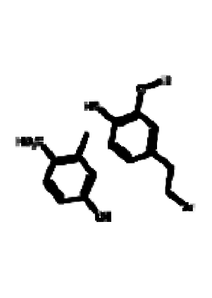 CCOc1cc(CCC(C)=O)ccc1O.Cc1cc(O)ccc1C(=O)O